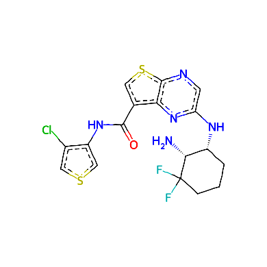 N[C@@H]1[C@H](Nc2cnc3scc(C(=O)Nc4cscc4Cl)c3n2)CCCC1(F)F